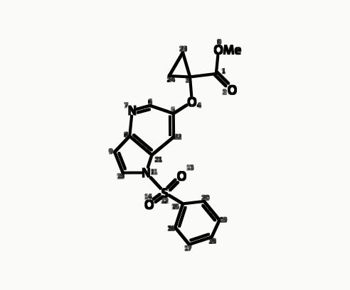 COC(=O)C1(Oc2cnc3ccn(S(=O)(=O)c4ccccc4)c3c2)CC1